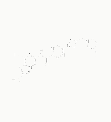 Cc1cn2cc(NC(=O)c3cnc(N4CC(CN5CC[C@@H](F)C5)C4)cn3)nc(C)c2n1